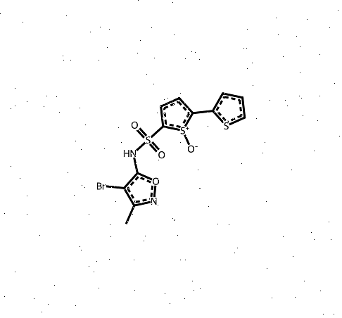 Cc1noc(NS(=O)(=O)c2ccc(-c3cccs3)[s+]2[O-])c1Br